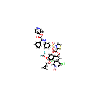 O=C(O[C@H]1CN2CCC1CC2)C(Nc1cccc(S(=O)(=O)N2CCS[C@H]2C(=O)O[C@@H](Cc2c(Cl)c[n+]([O-])cc2Cl)c2ccc(OC(F)F)c(OCC3CC3)c2)c1)c1ccccc1